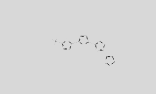 CC(C)(C)c1ccc(-c2ccc(-c3ccc(-c4cccs4)s3)s2)s1